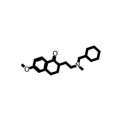 COc1ccc2c(c1)CCC(CCN(C)CC1CCCCC1)C2=O